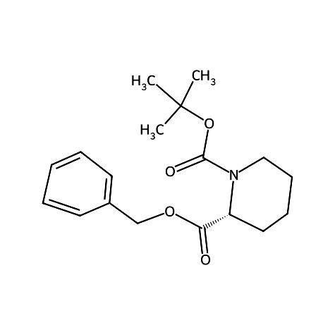 CC(C)(C)OC(=O)N1CCCC[C@@H]1C(=O)OCc1ccccc1